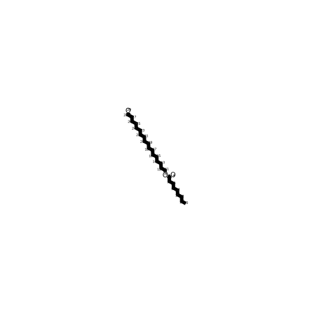 CCCCCCCCC(=O)OCCCCCCCCCCCCCCCCCC=O